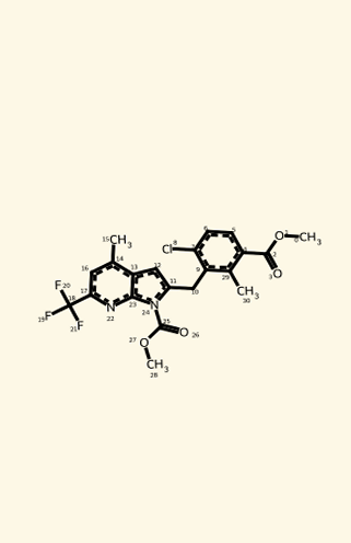 COC(=O)c1ccc(Cl)c(Cc2cc3c(C)cc(C(F)(F)F)nc3n2C(=O)OC)c1C